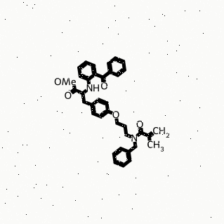 C=C(C)C(=O)N(CCCOc1ccc(CC(Nc2ccccc2C(=O)c2ccccc2)C(=O)OC)cc1)Cc1ccccc1